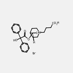 O=C(O)CCC[N+]12CCC(CC1)[C@@H](OC(=O)C(O)(c1ccccc1)c1ccccc1)C2.[Br-]